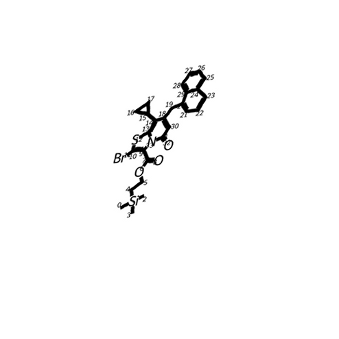 C[Si](C)(C)CCOC(=O)c1c(Br)sc2c(C3CC3)c(Cc3cccc4ccccc34)cc(=O)n12